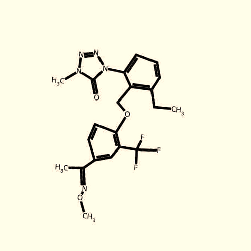 CCc1cccc(-n2nnn(C)c2=O)c1COc1ccc(C(C)=NOC)cc1C(F)(F)F